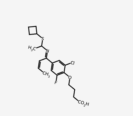 C/C=C\C(=N/C(C)SC1CCC1)c1cc(F)c(OCCCC(=O)O)c(Cl)c1